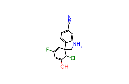 N#Cc1ccc(C2(CN)C=C(F)C=C(O)C2Cl)cc1